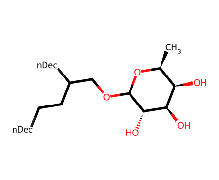 CCCCCCCCCCCCC(CCCCCCCCCC)COC1O[C@@H](C)[C@@H](O)[C@@H](O)[C@@H]1O